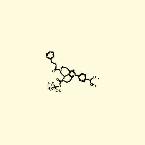 CC(C)c1ccc(-n2nc3c4c2CCN(C(=O)OC(C)(C)C)C4CN(C(=O)OCc2ccccc2)CC3)cc1